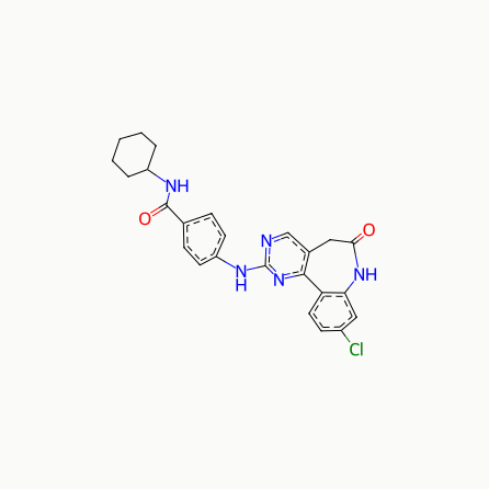 O=C1Cc2cnc(Nc3ccc(C(=O)NC4CCCCC4)cc3)nc2-c2ccc(Cl)cc2N1